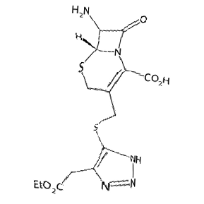 CCOC(=O)Cc1nn[nH]c1SCC1=C(C(=O)O)N2C(=O)C(N)[C@H]2SC1